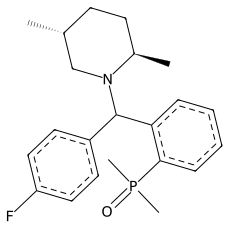 C[C@@H]1CC[C@@H](C)N(C(c2ccc(F)cc2)c2ccccc2P(C)(C)=O)C1